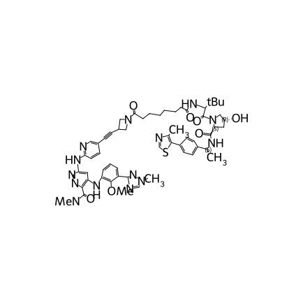 CNC(=O)c1nnc(Nc2ccc(C#CC3CN(C(=O)CCCCCCC(=O)NC(C(=O)N4C[C@H](O)C[C@H]4C(=O)N[C@@H](C)c4ccc(-c5scnc5C)cc4)C(C)(C)C)C3)cn2)cc1Nc1cccc(-c2ncn(C)n2)c1OC